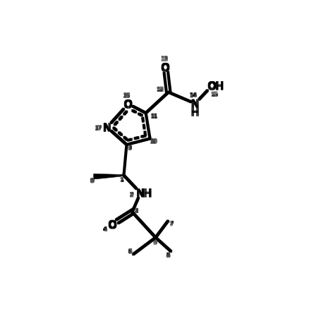 C[C@H](NC(=O)C(C)(C)C)c1cc(C(=O)NO)on1